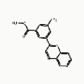 COC(=O)c1cc(C)cc(-c2cnc3ccccc3n2)c1